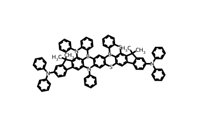 CC1(C)c2cc(N(c3ccccc3)c3ccccc3)ccc2-c2cc3c4c(c21)Sc1ccccc1B4c1cc2c(cc1S3)N(c1ccccc1)c1cc3c(c4c1B2c1ccccc1N4c1ccccc1)C(C)(C)c1cc(N(c2ccccc2)c2ccccc2)ccc1-3